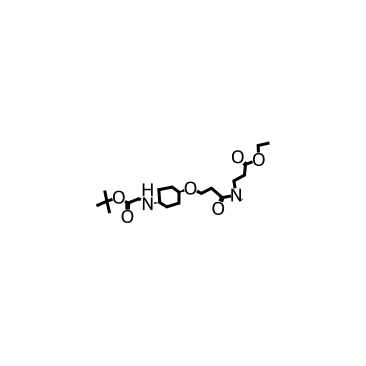 CCOC(=O)CCN(C)C(=O)CCO[C@H]1CC[C@H](NCC(=O)OC(C)(C)C)CC1